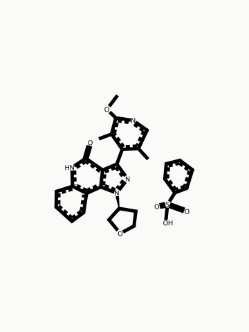 COc1ncc(C)c(-c2nn([C@H]3CCOC3)c3c2c(=O)[nH]c2ccccc23)c1C.O=S(=O)(O)c1ccccc1